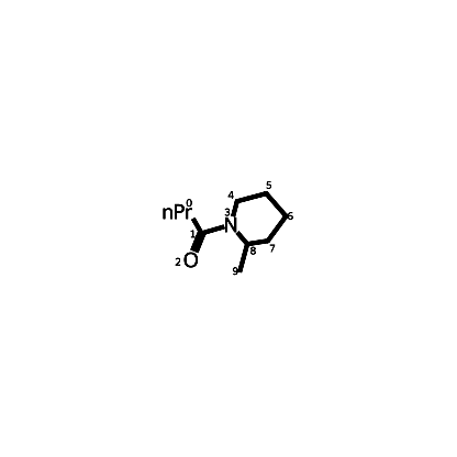 CCCC(=O)N1CCCCC1C